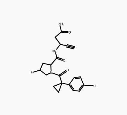 C#CC(CC(N)=O)NC(=O)C1CC(F)CN1C(=O)C1(c2ccc(Cl)cc2)CC1